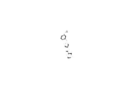 CCCC(=O)Nc1cc(Cn2cc(NC(=O)c3nccnc3N)cn2)ccc1F